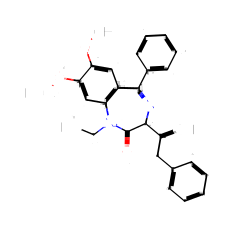 C=C(Cc1ccccc1)C1N=C(c2ccccc2)c2cc(OC)c(OC)cc2N(CC)C1=O